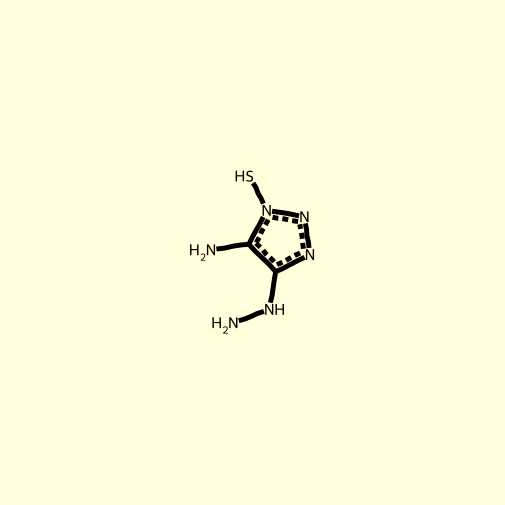 NNc1nnn(S)c1N